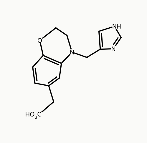 O=C(O)Cc1ccc2c(c1)N(Cc1c[nH]cn1)CCO2